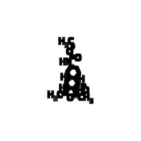 C=C1O[C@H](C)[C@H]2[C@@H](C=O)[C@@H]3CC[C@@H](NC(=O)OCC)C[C@H]3C[C@@H]12